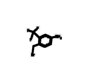 Nc1ccc(CBr)c(C(F)(F)F)c1